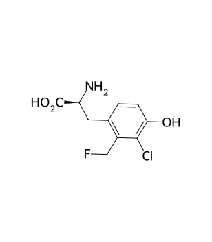 N[C@@H](Cc1ccc(O)c(Cl)c1CF)C(=O)O